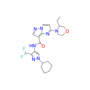 CCC1COCCN1c1ccn2ncc(C(=O)Nc3cn(C4CCCCC4)nc3C(F)F)c2n1